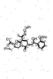 CCC(=O)N[C@@H](CC(C)C)Cn1c(=O)c(/C(C)=N/OC(C)C)cn(CC(O)c2ccccc2OC)c1=O